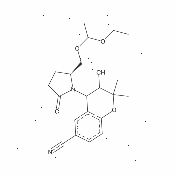 CCOC(C)OC[C@@H]1CCC(=O)N1C1c2cc(C#N)ccc2OC(C)(C)C1O